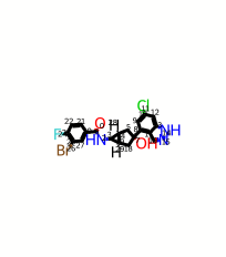 O=C(NC1[C@H]2CC(O)(c3cc(Cl)cc4[nH]ncc34)C[C@@H]12)c1ccc(F)c(Br)c1